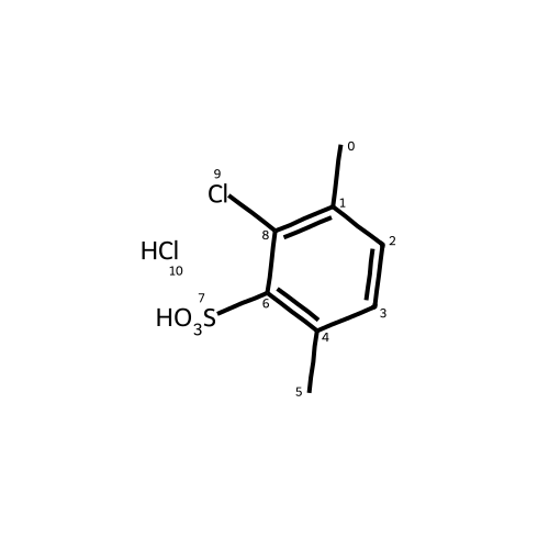 Cc1ccc(C)c(S(=O)(=O)O)c1Cl.Cl